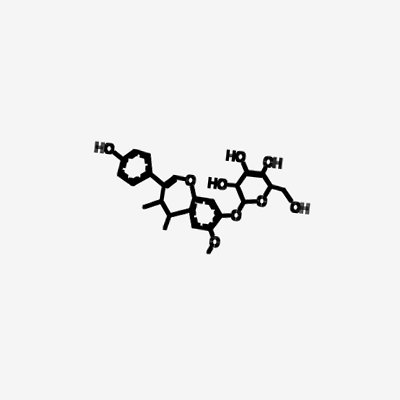 COc1cc2c(cc1OC1OC(CO)C(O)=C(O)C1O)OC=C(c1ccc(O)cc1)C(C)C2C